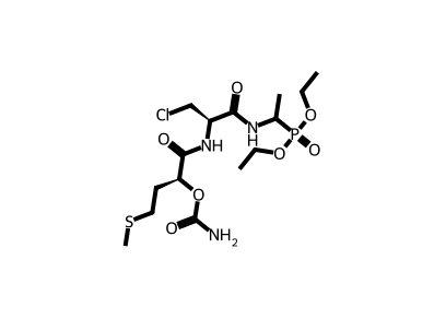 CCOP(=O)(OCC)C(C)NC(=O)[C@H](CCl)NC(=O)[C@H](CCSC)OC(N)=O